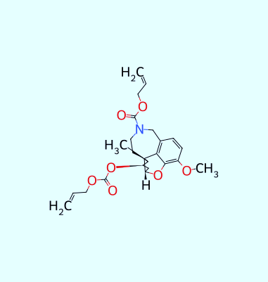 C=CCOC(=O)O[C@@H]1C[C@@H]2Oc3c(OC)ccc4c3[C@]2(CCN(C(=O)OCC=C)C4)C1C